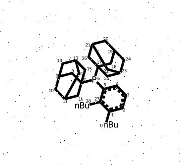 CCCCc1cccc(P(C23CC4CC(CC(C4)C2)C3)C23CC4CC(CC(C4)C2)C3)c1CCCC